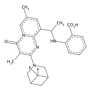 Cc1cc(C(C)Nc2ccccc2C(=O)O)c2nc(N3CC4CC(C3)C4(F)F)c(C)c(=O)n2c1